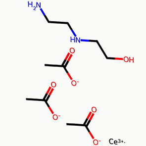 CC(=O)[O-].CC(=O)[O-].CC(=O)[O-].NCCNCCO.[Ce+3]